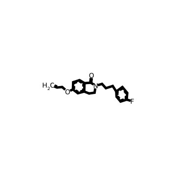 C=CCOc1ccc2c(c1)CCN(CCCc1ccc(F)cc1)C2=O